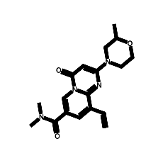 C=Cc1cc(C(=O)N(C)C)cn2c(=O)cc(N3CCOC(C)C3)nc12